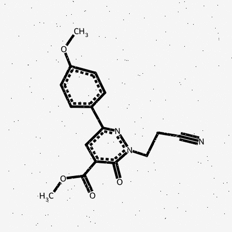 COC(=O)c1cc(-c2ccc(OC)cc2)nn(CCC#N)c1=O